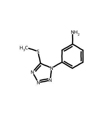 CSc1nnnn1-c1cccc(N)c1